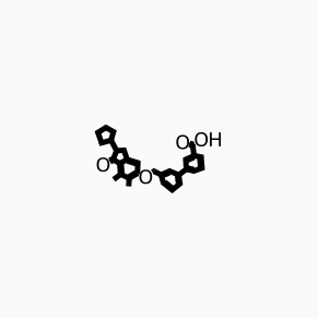 Cc1c(OCc2cccc(-c3cccc(C(=O)O)c3)c2)cc2c(c1C)C(=O)C(C1CCCC1)C2